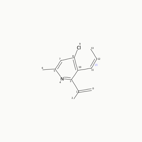 C=C(C)c1nc(C)cc(Cl)c1/C=C\C